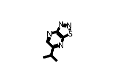 CC(C)c1cnc2nnsc2n1